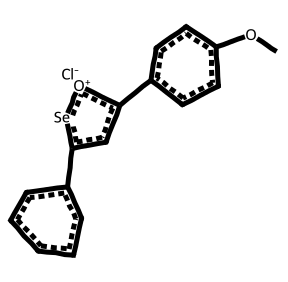 COc1ccc(-c2cc(-c3ccccc3)[se][o+]2)cc1.[Cl-]